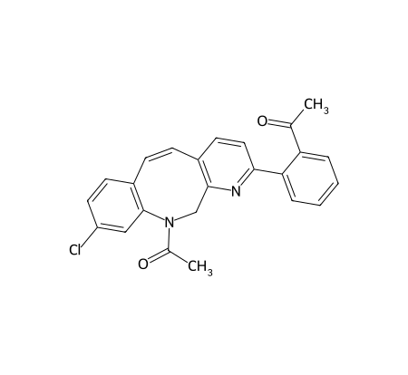 CC(=O)c1ccccc1-c1ccc2c(n1)CN(C(C)=O)c1cc(Cl)ccc1C=C2